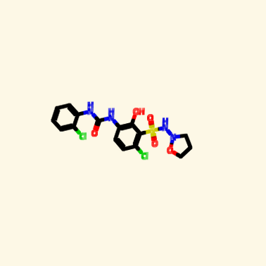 O=C(Nc1ccccc1Cl)Nc1ccc(Cl)c(S(=O)(=O)NN2CCCO2)c1O